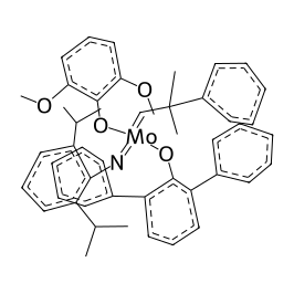 COc1cccc(OC)c1[O][Mo](=[CH]C(C)(C)c1ccccc1)(=[N]c1c(C(C)C)cccc1C(C)C)[O]c1c(-c2ccccc2)cccc1-c1ccccc1